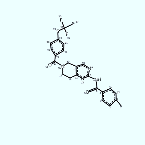 Cc1ccc(C(=O)Nc2ncc3c(n2)CCN(C(=O)c2ccc(SC(F)(F)F)cc2)C3)cc1